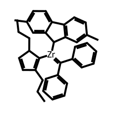 CCCC1=[C]([Zr](=[C](c2ccccc2)c2ccccc2)[CH]2c3cc(C)ccc3-c3ccc(C)cc32)C(CCC)C=C1